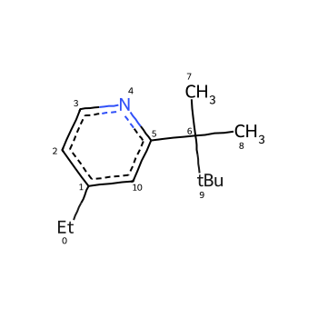 CCc1ccnc(C(C)(C)C(C)(C)C)c1